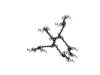 C=C(C)C(=O)OCCCCCCOC(=O)c1cc(OCc2cc(OCCCCCCCCCOc3ccc(/C=C/C(=O)OC)cc3OC)cc(OCCCCCCCCOc3ccc(/C=C/C(=O)OC)cc3OC)c2)cc(OCc2cc(OCCCCCCCCOc3ccc(/C=C/C(=O)OC)cc3OC)cc(OCCCCCCCCOc3ccc(/C=C/C(=O)OC)cc3OC)c2)c1